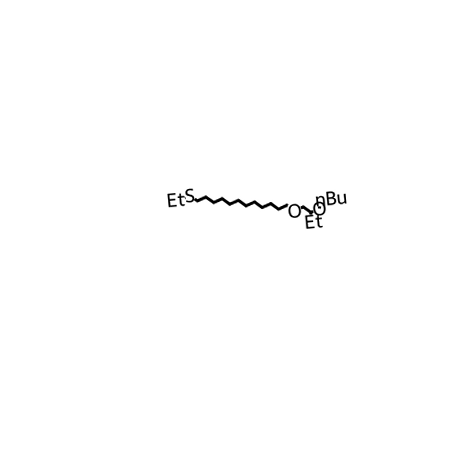 CCCCOC(CC)COCCCCCCCCCCCCSCC